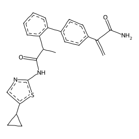 C=C(C(N)=O)c1ccc(-c2ccccc2C(C)C(=O)Nc2ncc(C3CC3)s2)cc1